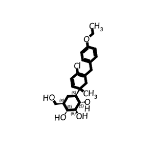 CCOc1ccc(CC2=C(Cl)C=CC(C)([C@@H]3C[C@H](CO)[C@@H](O)[C@H](O)[C@H]3O)C2)cc1